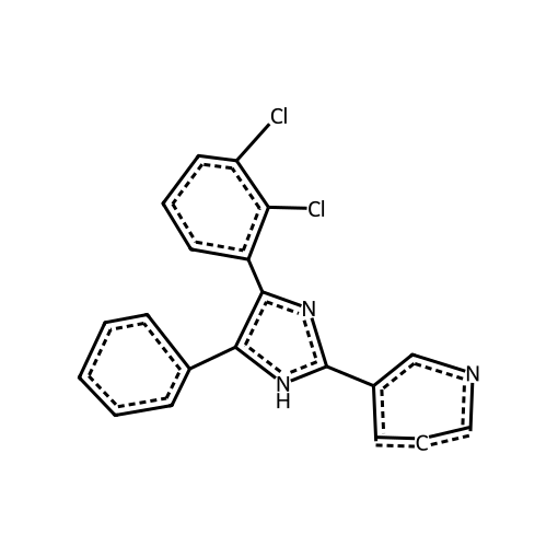 Clc1cccc(-c2nc(-c3cccnc3)[nH]c2-c2ccccc2)c1Cl